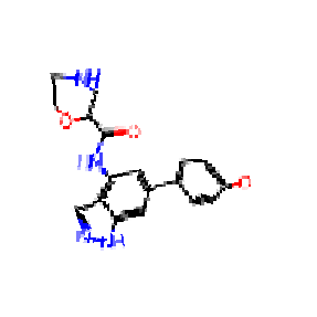 O=C(Nc1cc(-c2ccc(O)cc2)cc2[nH]ncc12)C1CNCCO1